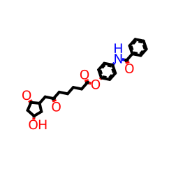 O=C(CCCCC(=O)Oc1ccc(NC(=O)c2ccccc2)cc1)CC1CC(O)CC1=O